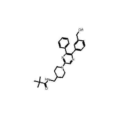 CC(C)(C)C(=O)NCC1CCN(c2cnc(-c3cccc(CO)c3)c(-c3ccccc3)n2)CC1